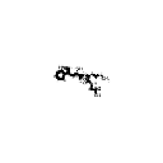 CSCC[C@H](NC(=O)[C@@H](N)Cc1c[nH]c2ccccc12)C(=O)NCC(=O)O